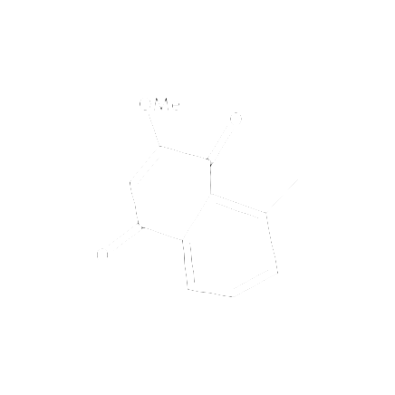 COC1=CC(=O)c2cccc(C)c2C1=O